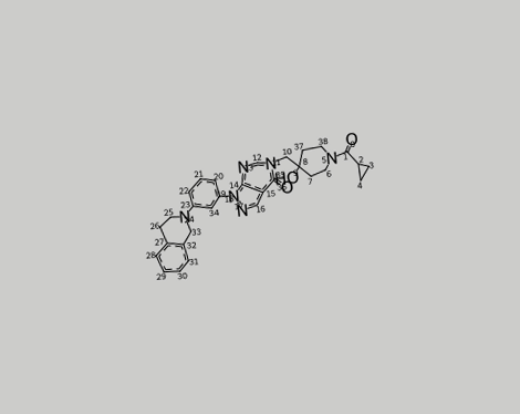 O=C(C1CC1)N1CCC(O)(Cn2cnc3c(cnn3-c3cccc(N4CCc5ccccc5C4)c3)c2=O)CC1